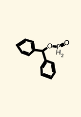 O=[PH2]OC(c1ccccc1)c1ccccc1